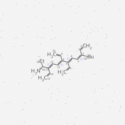 C=C\C(=C/C=C(C=C)/C(C=C)=C/C=C(\C=C)C(N)CC)C(C)CC